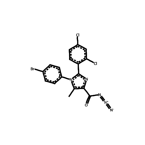 Cc1c(C(=O)N=[N+]=[N-])nc(-c2ccc(Cl)cc2Cl)n1-c1ccc(Br)cc1